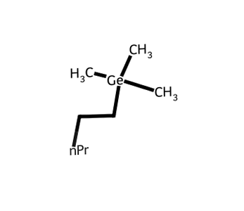 [CH2]CCC[CH2][Ge]([CH3])([CH3])[CH3]